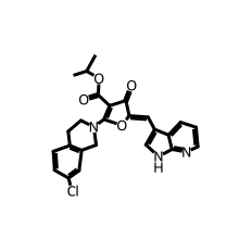 CC(C)OC(=O)C1=C(N2CCc3ccc(Cl)cc3C2)OC(=Cc2c[nH]c3ncccc23)C1=O